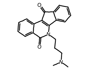 CN(C)CCCn1c2c(c3ccccc3c1=O)C(=O)c1ccccc1-2